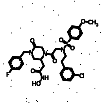 COc1ccc(S(=O)(=O)N(CCc2cccc(Cl)c2)CC(=O)N2CC(=O)N(Cc3ccc(F)cc3)CC2CC(=O)NO)cc1